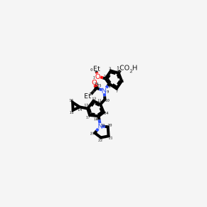 CCOc1cc(C(=O)O)ccc1N(Cc1cc(C2CC2)cc(N2CCCC2)c1)C(=O)CC